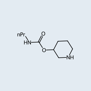 CCCNC(=O)OC1CCCNC1